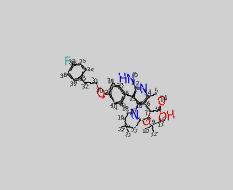 CNc1nc(C)c([C@H](OC(C)(C)C)C(=O)O)c(N2CCC(C)(C)CC2)c1-c1ccc(OCCc2ccc(F)cc2)cc1